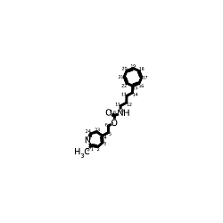 CC1=CC=C(CCOC(=O)NCCCCC2=C/C=C\C=C/C=C\2)CC=N1